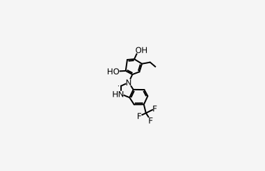 CCc1cc(N2[CH]Nc3cc(C(F)(F)F)ccc32)c(O)cc1O